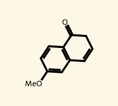 COc1ccc2c(c1)C=CCC2=O